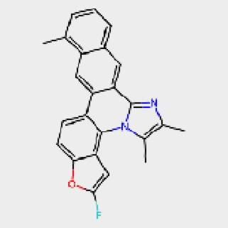 Cc1nc2c3cc4cccc(C)c4cc3c3ccc4oc(F)cc4c3n2c1C